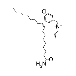 C=CC[N+](C)(C)Cc1ccccc1.CCCCCCCC/C=C\CCCCCCCC(N)=O.[Cl-]